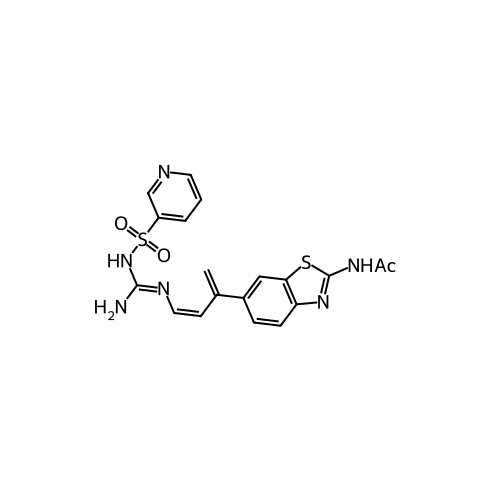 C=C(/C=C\N=C(/N)NS(=O)(=O)c1cccnc1)c1ccc2nc(NC(C)=O)sc2c1